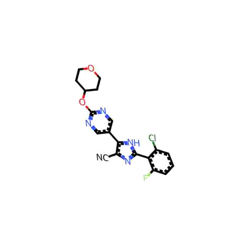 N#Cc1nc(-c2c(F)cccc2Cl)[nH]c1-c1cnc(OC2CCOCC2)nc1